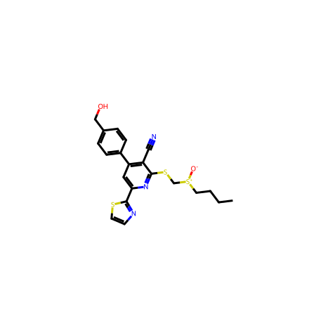 CCCC[S+]([O-])CSc1nc(-c2nccs2)cc(-c2ccc(CO)cc2)c1C#N